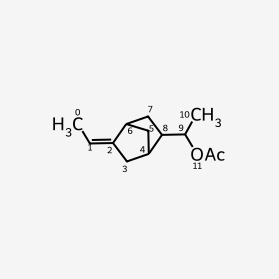 CC=C1CC2CC1CC2C(C)OC(C)=O